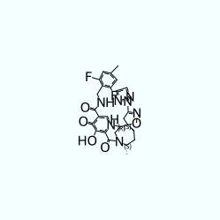 Cc1cc(F)c(CNC(=O)c2cn3c(c(O)c2=O)C(=O)N2C[C@@H]3[C@]3(CC[C@@H]2C)CC(n2nccn2)=NO3)c(F)c1